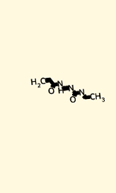 C=CC(=O)NC=NC(=O)N=CC